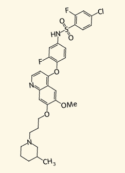 COc1cc2c(Oc3ccc(NS(=O)(=O)c4ccc(Cl)cc4F)cc3F)ccnc2cc1OCCCN1CCCC(C)C1